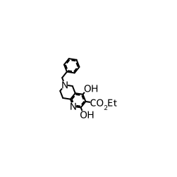 CCOC(=O)c1c(O)nc2c(c1O)CN(Cc1ccccc1)CC2